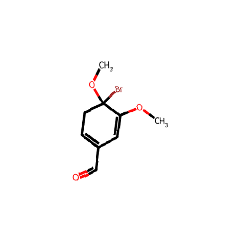 COC1=CC(C=O)=CCC1(Br)OC